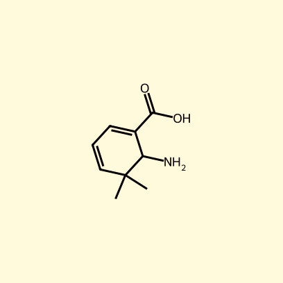 CC1(C)C=CC=C(C(=O)O)C1N